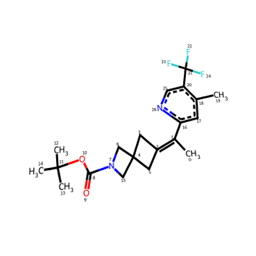 CC(=C1CC2(C1)CN(C(=O)OC(C)(C)C)C2)c1cc(C)c(C(F)(F)F)cn1